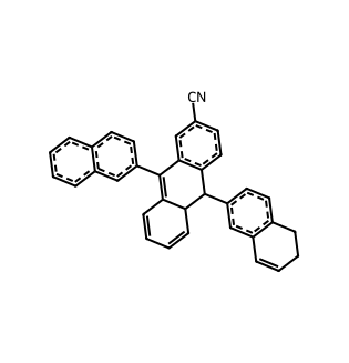 N#Cc1ccc2c(c1)C(c1ccc3ccccc3c1)=C1C=CC=CC1C2c1ccc2c(c1)C=CCC2